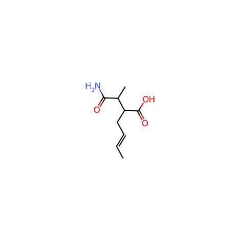 CC=CCC(C(=O)O)C(C)C(N)=O